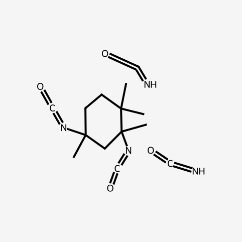 CC1(N=C=O)CCC(C)(C)C(C)(N=C=O)C1.N=C=O.N=C=O